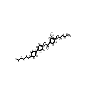 CCCCCCc1ccc(-c2ccc(OC(=O)c3ccc(OCCCCC)c(F)c3)cc2)cc1